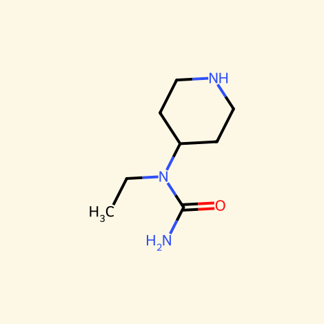 CCN(C(N)=O)C1CCNCC1